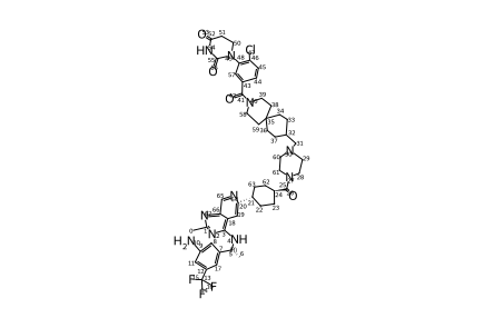 Cc1nc(N[C@H](C)c2cc(N)cc(C(F)(F)F)c2)c2cc([C@H]3CC[C@H](C(=O)N4CCN(CC5CCC6(CC5)CCN(C(=O)c5ccc(Cl)c(N7CCC(=O)NC7=O)c5)CC6)CC4)CC3)ncc2n1